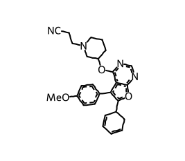 COc1ccc(-c2c(C3C=CC=CC3)oc3ncnc(OC4CCCN(CCC#N)C4)c23)cc1